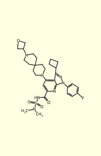 CN(C)S(=O)(=O)NC(=O)c1cc(N2CCC3(CC2)CCN(C2COC2)CC3)c2c(C3CCC3)nn(-c3ccc(F)cc3)c2n1